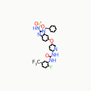 CS(=O)(=O)Nc1nc2ccc(Oc3ccc(NC(=O)Nc4cc(C(F)(F)F)ccc4F)nc3)cc2n1Cc1ccccc1